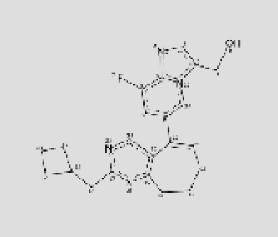 OCc1cnc2c(F)cc(C3=CCCCc4nc(CC5CCC5)ncc43)cn12